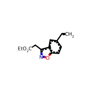 C=Cc1ccc2onc(CC(=O)OCC)c2c1